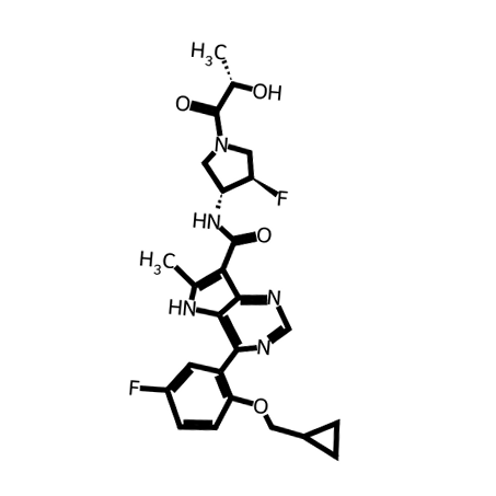 Cc1[nH]c2c(-c3cc(F)ccc3OCC3CC3)ncnc2c1C(=O)N[C@@H]1CN(C(=O)[C@H](C)O)C[C@H]1F